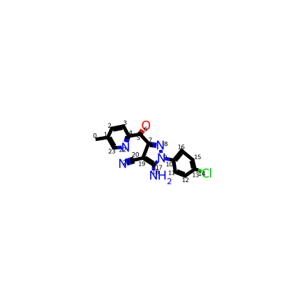 Cc1ccc(C(=O)c2nn(-c3ccc(Cl)cc3)c(N)c2C#N)nc1